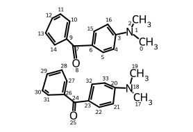 CN(C)c1ccc(C(=O)c2ccccc2)cc1.CN(C)c1ccc(C(=O)c2ccccc2)cc1